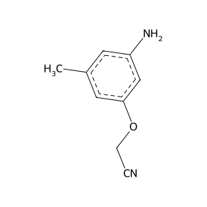 Cc1cc(N)cc(OCC#N)c1